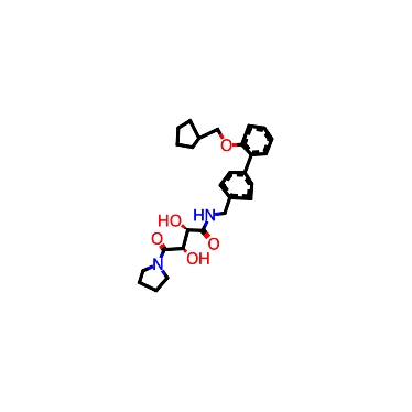 O=C(NCc1ccc(-c2ccccc2OCC2CCCC2)cc1)[C@H](O)[C@@H](O)C(=O)N1CCCC1